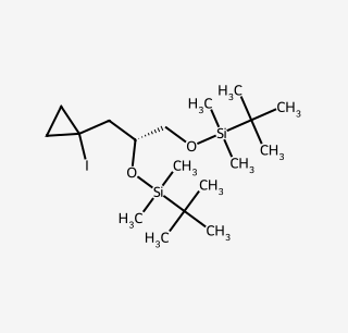 CC(C)(C)[Si](C)(C)OC[C@@H](CC1(I)CC1)O[Si](C)(C)C(C)(C)C